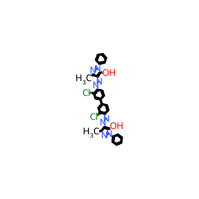 Cc1nn(-c2ccccc2)c(O)c1N=Nc1ccc(-c2ccc(N=Nc3c(C)nn(-c4ccccc4)c3O)c(Cl)c2)cc1Cl